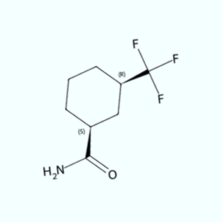 NC(=O)[C@H]1CCC[C@@H](C(F)(F)F)C1